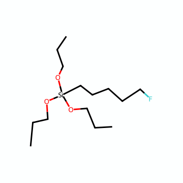 CCCO[Si](CCCCCF)(OCCC)OCCC